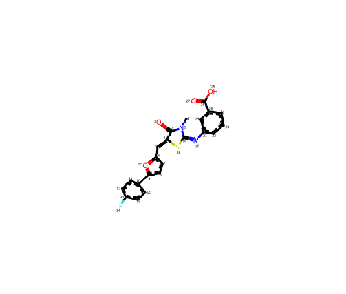 CN1C(=O)/C(=C/c2ccc(-c3ccc(F)cc3)o2)S/C1=N/c1cccc(C(=O)O)c1